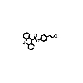 CN1c2ccccc2C(C(=O)Oc2ccc(C=CO)cc2)c2ccccc21